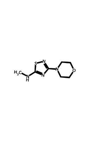 CNc1nc(N2CCOCC2)ns1